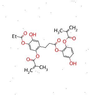 C=C(C)C(=O)Oc1cc(OC(=O)CC)c(O)cc1CCC(=O)Oc1cc(O)ccc1OC(=O)C(=C)C